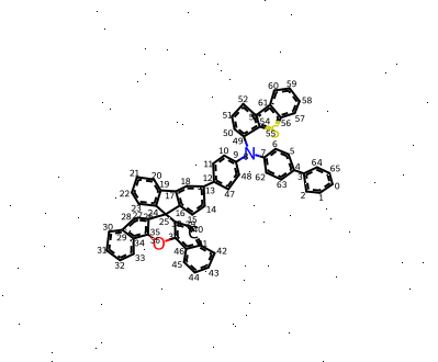 c1ccc(-c2ccc(N(c3ccc(-c4ccc5c(c4)-c4ccccc4C54c5ccc6ccccc6c5Oc5c4ccc4ccccc54)cc3)c3cccc4c3sc3ccccc34)cc2)cc1